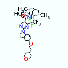 CC1CC2CC(C)C(NC(=O)c3cnc(N4CCc5cc(OCCC6CCOCC6)ccc54)nc3C(F)(F)C(F)(F)F)(C(=O)O)C(C1)C2